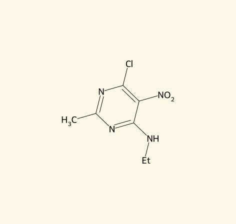 CCNc1nc(C)nc(Cl)c1[N+](=O)[O-]